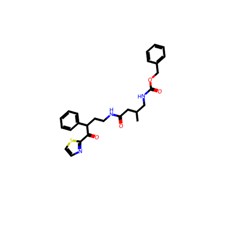 CC(CNC(=O)OCc1ccccc1)CC(=O)NCCC(C(=O)c1nccs1)c1ccccc1